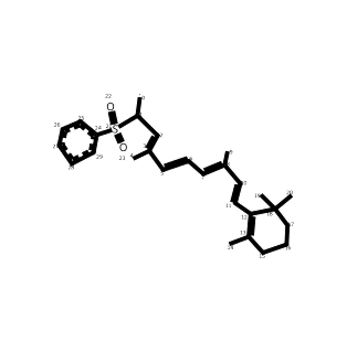 [CH2]C(C=C(C)C=CC=C(C)C=CC1=C(C)CCCC1(C)C)S(=O)(=O)c1ccccc1